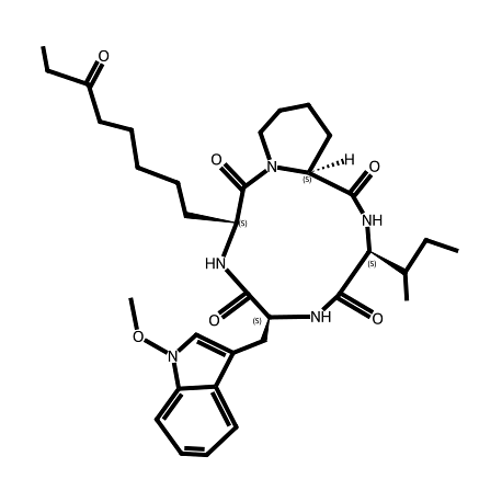 CCC(=O)CCCCC[C@@H]1NC(=O)[C@H](Cc2cn(OC)c3ccccc23)NC(=O)[C@H](C(C)CC)NC(=O)[C@@H]2CCCCN2C1=O